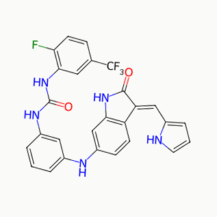 O=C(Nc1cccc(Nc2ccc3c(c2)NC(=O)C3=Cc2ccc[nH]2)c1)Nc1cc(C(F)(F)F)ccc1F